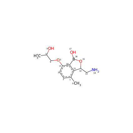 Cc1ccc(OCC(C)O)c2c1C(CN)OB2O